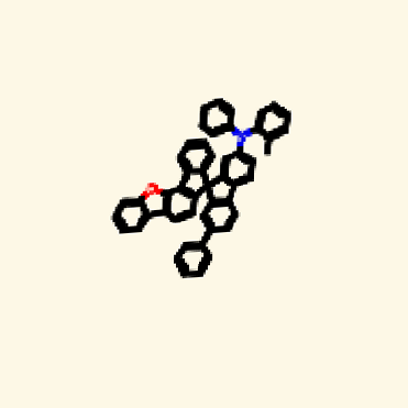 Cc1ccccc1N(c1ccccc1)c1ccc2c(c1)C1(c3cc(-c4ccccc4)ccc3-2)c2ccccc2-c2c1ccc1c2oc2ccccc21